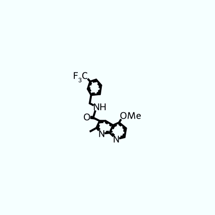 COc1ccnc2nc(C)c(C(=O)NCc3cccc(C(F)(F)F)c3)cc12